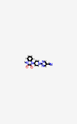 Cn1c(=O)c(=O)n(C2CCN(c3ncc(C#N)cn3)CC2)c2ccccc21